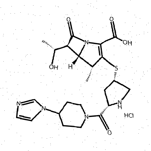 C[C@@H](O)[C@H]1C(=O)N2C(C(=O)O)=C(S[C@@H]3CN[C@H](C(=O)N4CCC(n5ccnc5)CC4)C3)[C@H](C)[C@H]12.Cl